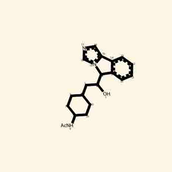 CC(=O)NC1CCC(CC(O)C2c3ccccc3-c3cncn32)CC1